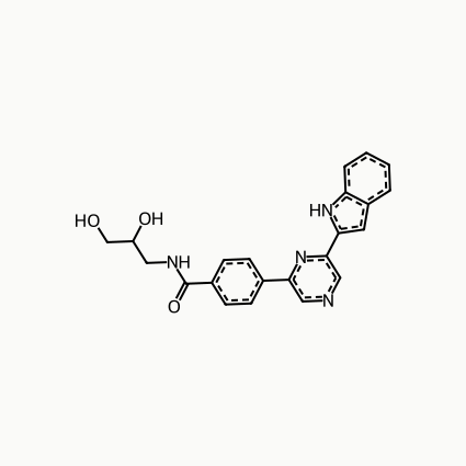 O=C(NCC(O)CO)c1ccc(-c2cncc(-c3cc4ccccc4[nH]3)n2)cc1